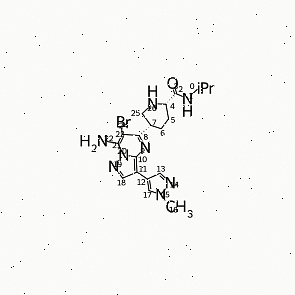 CC(C)NC(=O)[C@@H]1CC[C@H](c2nc3c(-c4cnn(C)c4)cnn3c(N)c2Br)CN1